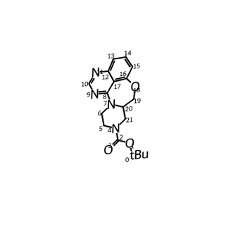 CC(C)(C)OC(=O)N1CCN2c3ncnc4cccc(c34)OCC2C1